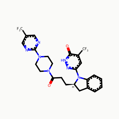 O=C(CC[C@@H]1Cc2ccccc2N1c1cc(C(F)(F)F)c(=O)[nH]n1)N1CCN(c2ncc(C(F)(F)F)cn2)CC1